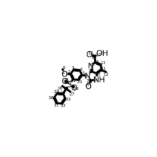 COc1ccc(-n2c(=O)[nH]c3c(C)cc(C(=O)O)nc32)cc1S(=O)(=O)C(C)(C)c1ccccc1